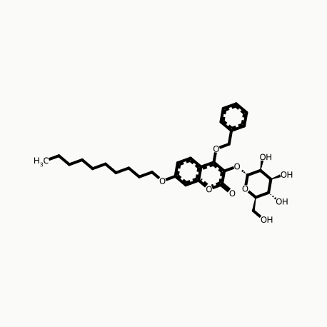 CCCCCCCCCCOc1ccc2c(OCc3ccccc3)c(O[C@H]3O[C@H](CO)[C@@H](O)[C@H](O)[C@@H]3O)c(=O)oc2c1